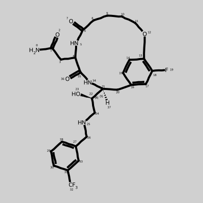 NC(=O)CC1NC(=O)CCCCOc2ccc(cc2F)C[C@@H]([C@H](O)CNCc2cccc(C(F)(F)F)c2)NC1=O